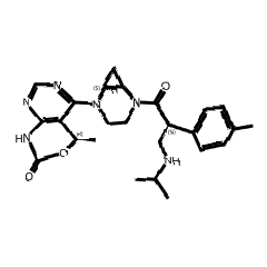 Cc1ccc([C@@H](CNC(C)C)C(=O)N2CCN(c3ncnc4c3[C@@H](C)OC(=O)N4)[C@H]3CC32)cc1